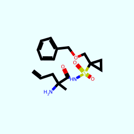 C=CCC(C)(N)C(=O)NS(=O)(=O)C1(COCc2ccccc2)CC1